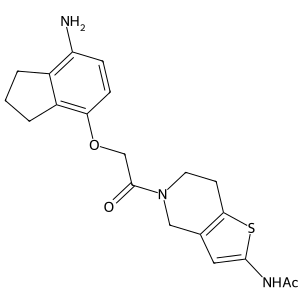 CC(=O)Nc1cc2c(s1)CCN(C(=O)COc1ccc(N)c3c1CCC3)C2